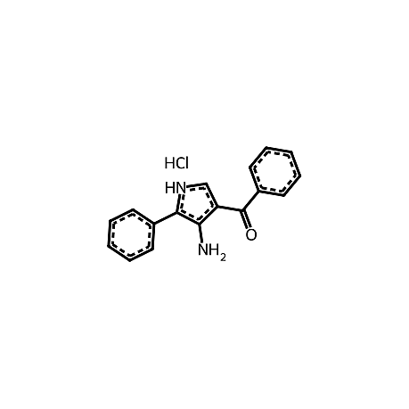 Cl.Nc1c(C(=O)c2ccccc2)c[nH]c1-c1ccccc1